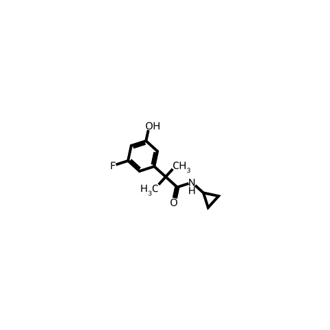 CC(C)(C(=O)NC1CC1)c1cc(O)cc(F)c1